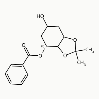 CC1(C)OC2CC(O)C[C@@H](OC(=O)c3ccccc3)C2O1